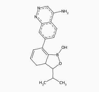 CC(C)C1OB(O)C2=C(c3ccc4c(N)cnnc4c3)C=CCC21